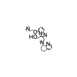 CN(C)CCOc1cccc2nc(CN(C)[C@H]3CCCc4cccnc43)c(CO)n12